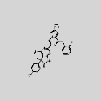 CC1(c2ccc(Cl)cc2)C(=O)Nc2nc(-c3cn4cc(C(F)(F)F)nc4c(Cc4ccccc4F)n3)nc(N)c21